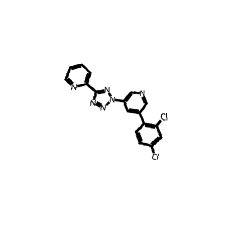 Clc1ccc(-c2cncc(-n3nnc(-c4ccccn4)n3)c2)c(Cl)c1